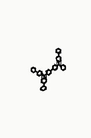 C1=CCC(c2ccc(N(c3ccc(-c4ccccc4)cc3)c3ccc(-c4ccc(N(c5ccccc5)c5ccc(-c6ccccc6)cc5)cc4)cc3)cc2)C=C1